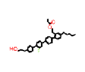 C=CC(=O)OCCc1cc(CCCCC)ccc1-c1ccc(-c2ccc(-c3ccc(CCCO)cc3)c(F)c2)cc1